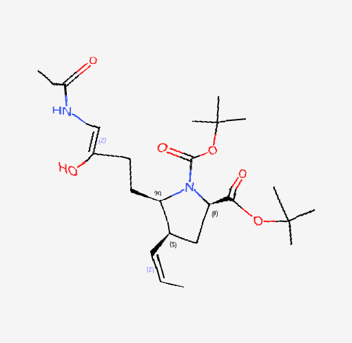 C/C=C\[C@@H]1C[C@H](C(=O)OC(C)(C)C)N(C(=O)OC(C)(C)C)[C@@H]1CC/C(O)=C/NC(C)=O